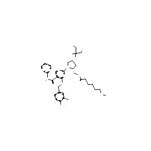 COc1ccc(CNc2nc(N3CCC[C@H]3COC(=O)CCCCCO[N+](=O)[O-])ncc2C(=O)N(C)c2ncccn2)cc1Cl.O=C(O)CC(O)(CC(=O)O)C(=O)O